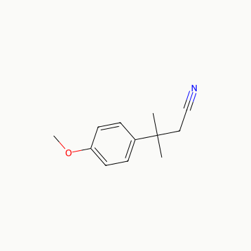 COc1ccc(C(C)(C)CC#N)cc1